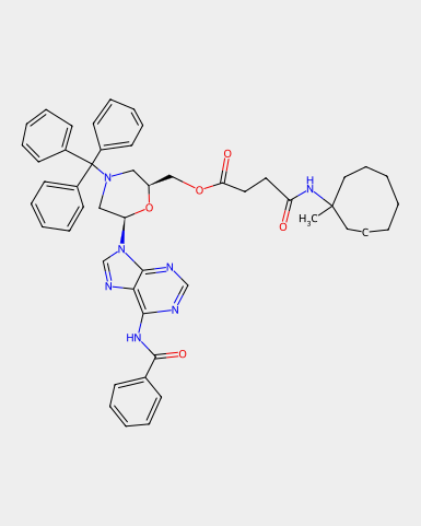 CC1(NC(=O)CCC(=O)OC[C@@H]2CN(C(c3ccccc3)(c3ccccc3)c3ccccc3)C[C@H](n3cnc4c(NC(=O)c5ccccc5)ncnc43)O2)CCCCCCC1